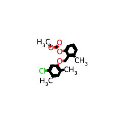 COC(=O)Oc1cccc(C)c1COc1cc(Cl)c(C)cc1C